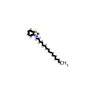 CCCCCCCCCCCCCCCC[n+]1csc2ccccc21